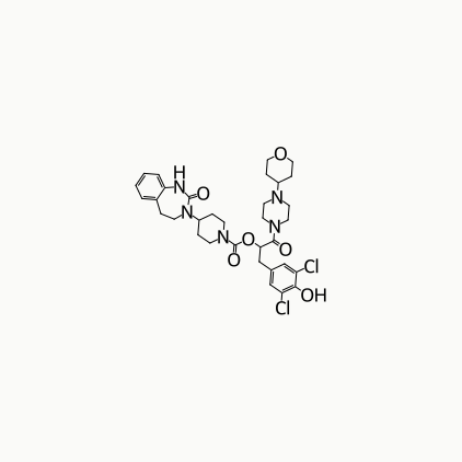 O=C(OC(Cc1cc(Cl)c(O)c(Cl)c1)C(=O)N1CCN(C2CCOCC2)CC1)N1CCC(N2CCc3ccccc3NC2=O)CC1